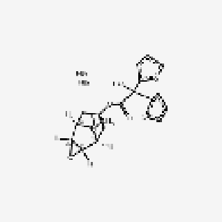 Br.Br.C[N+]1(C)[C@@H]2CC(OC(=O)C(O)(c3cccs3)c3cccs3)C[C@H]1[C@@H]1O[C@@H]12